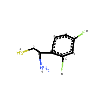 NC(CS)c1ccc(F)cc1F